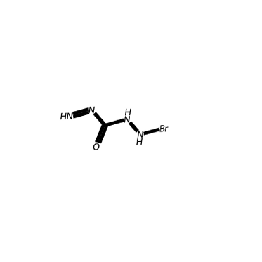 N=NC(=O)NNBr